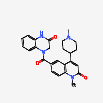 CCn1c(=O)cc(C2CCN(C)CC2)c2cc(C(=O)N3CC(=O)Nc4ccccc43)ccc21